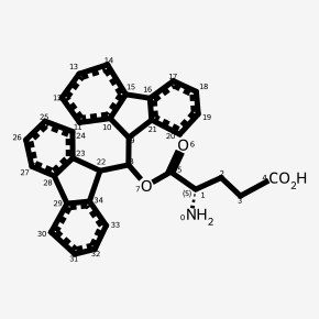 N[C@@H](CCC(=O)O)C(=O)OC(C1c2ccccc2-c2ccccc21)C1c2ccccc2-c2ccccc21